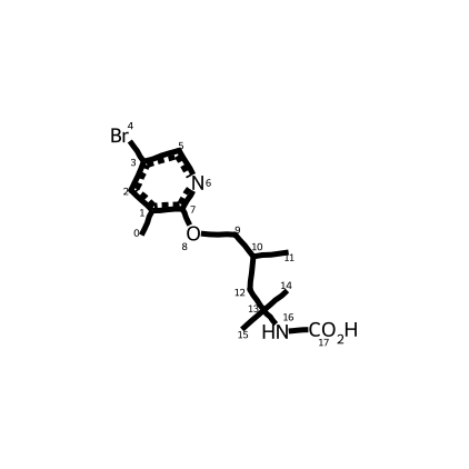 Cc1cc(Br)cnc1OCC(C)CC(C)(C)NC(=O)O